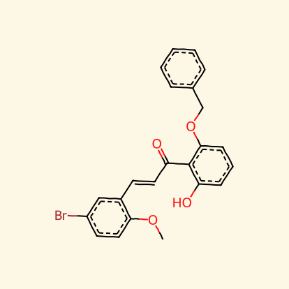 COc1ccc(Br)cc1C=CC(=O)c1c(O)cccc1OCc1ccccc1